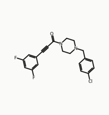 O=C(C#Cc1cc(F)cc(F)c1)N1CCN(Cc2ccc(Cl)cc2)CC1